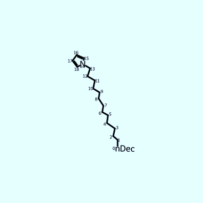 CCCCCCCCCCCCCCCCCCCCCCCn1cccc1